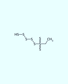 CCS(=S)(=S)SSSSS